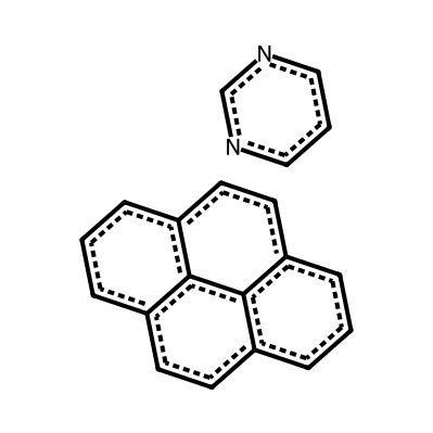 c1cc2ccc3cccc4ccc(c1)c2c34.c1cncnc1